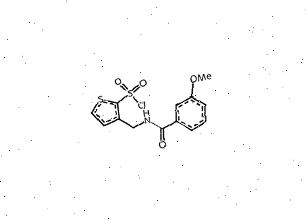 COc1cccc(C(=O)NCc2ccsc2S(=O)(=O)Cl)c1